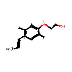 Cc1cc(OCCO)c(C)cc1C=CC(=O)O